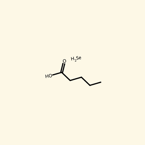 CCCCC(=O)O.[SeH2]